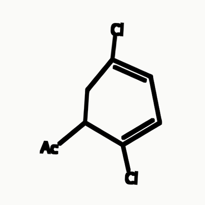 CC(=O)C1CC(Cl)=CC=C1Cl